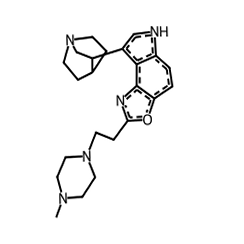 CN1CCN(CCc2nc3c(ccc4[nH]cc(C5CN6CCC5CC6)c43)o2)CC1